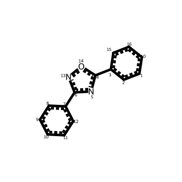 [c]1ccc(-c2nc(-c3ccccc3)no2)cc1